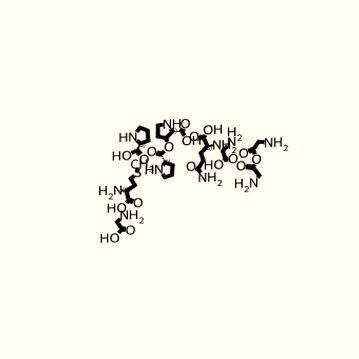 CSCC[C@H](N)C(=O)O.NC(=O)CC[C@H](N)C(=O)O.NCC(=O)O.NCC(=O)O.NCC(=O)OC(=O)CN.O=C(O)[C@@H]1CCCN1.O=C(OC1CCN[C@@H]1C(=O)O)[C@@H]1CCCN1